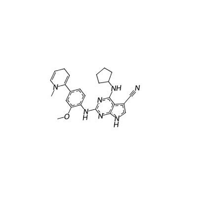 COc1cc(C2=CCC=CN2C)ccc1Nc1nc(NC2CCCC2)c2c(C#N)c[nH]c2n1